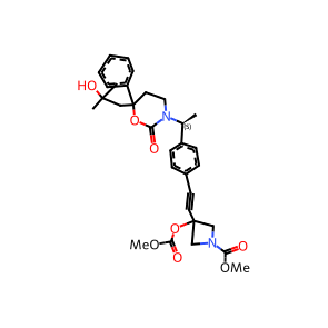 COC(=O)OC1(C#Cc2ccc([C@H](C)N3CCC(CC(C)(C)O)(c4ccccc4)OC3=O)cc2)CN(C(=O)OC)C1